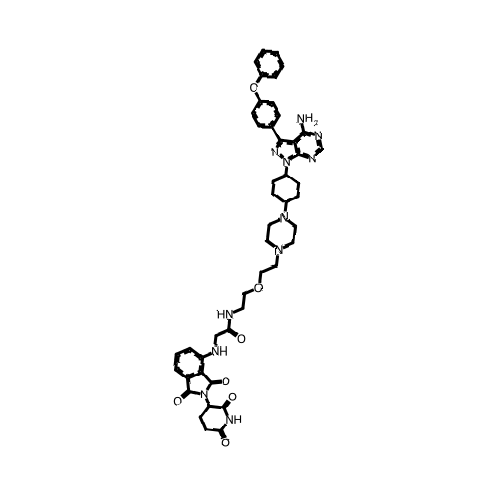 Nc1ncnc2c1c(-c1ccc(Oc3ccccc3)cc1)nn2C1CCC(N2CCN(CCOCCNC(=O)CNc3cccc4c3C(=O)N(C3CCC(=O)NC3=O)C4=O)CC2)CC1